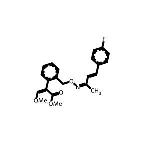 COC=C(C(=O)OC)c1ccccc1CON=C(C)C=Cc1ccc(F)cc1